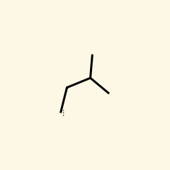 [C]CC(C)C